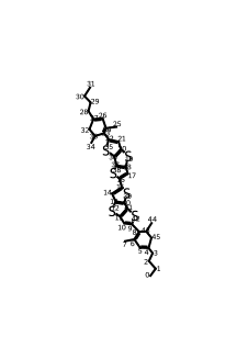 CCCCC1=CC(C)=C(c2cc3sc4cc(-c5cc6sc7cc(C8=C(C)C=C(CCCC)CC8C)sc7c6s5)sc4c3s2)C(C)C1